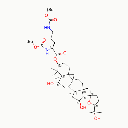 CC(C)(C)OC(=O)NCCC[C@H](NC(=O)OC(C)(C)C)C(=O)O[C@H]1CCC23CC24CC[C@]2(C)[C@@H]([C@@]5(C)CC[C@@H](C(C)(C)O)O5)[C@@H](O)C[C@@]2(C)C4C[C@H](O)[C@H]3C1(C)C